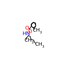 CCCCCC(CC)NOC(=O)c1ccccc1C